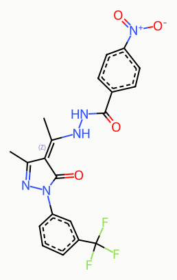 CC1=NN(c2cccc(C(F)(F)F)c2)C(=O)/C1=C(/C)NNC(=O)c1ccc([N+](=O)[O-])cc1